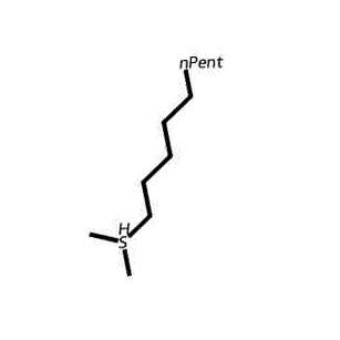 CCCCCCCCCC[SH](C)C